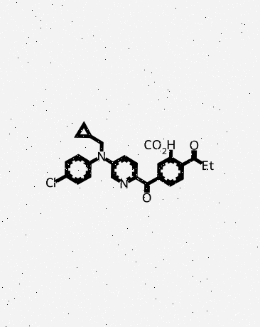 CCC(=O)c1ccc(C(=O)c2ccc(N(CC3CC3)c3ccc(Cl)cc3)cn2)cc1C(=O)O